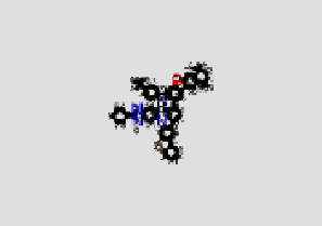 Cn1c(-c2ccccc2)nc2cc3c(cc21)-n1c2cc4sc5ccccc5c4cc2c2ccc(-c4cc5c(cc4Nc4ccc(C(C)(C)C)cc4)oc4cc6c(cc45)C(C)(C)CCC6(C)C)c(c21)B3